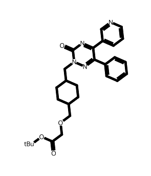 CC(C)(C)OC(=O)COCC1CCC(Cn2nc(-c3ccccc3)c(-c3cccnc3)nc2=O)CC1